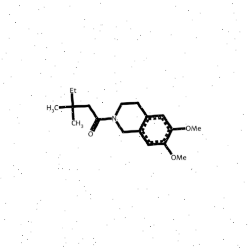 CCC(C)(C)CC(=O)N1CCc2cc(OC)c(OC)cc2C1